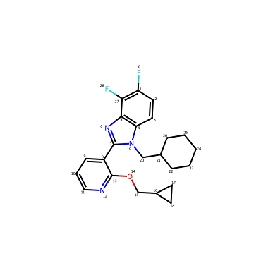 Fc1ccc2c(nc(-c3cccnc3OCC3CC3)n2CC2CCCCC2)c1F